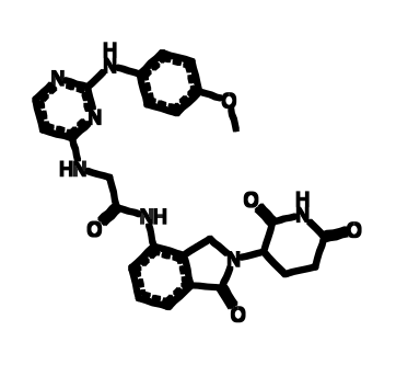 COc1ccc(Nc2nccc(NCC(=O)Nc3cccc4c3CN(C3CCC(=O)NC3=O)C4=O)n2)cc1